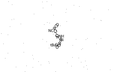 CC(C)(C)OC(=O)ON1CC(n2cc(Nc3cc(-c4ccc(OC5CCOCC5)c(C#N)c4)ccn3)cn2)C1